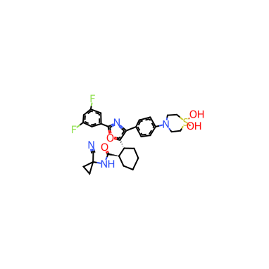 N#CC1(NC(=O)[C@@H]2CCCC[C@H]2c2oc(-c3cc(F)cc(F)c3)nc2-c2ccc(N3CCS(O)(O)CC3)cc2)CC1